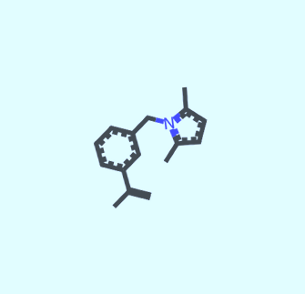 C=C(C)c1cccc(Cn2c(C)ccc2C)c1